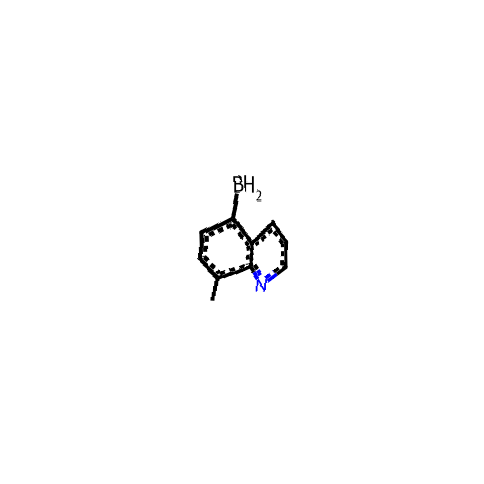 Bc1ccc(C)c2ncccc12